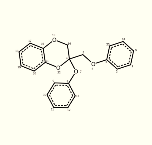 c1ccc(OCC2(Oc3ccccc3)COc3ccccc3O2)cc1